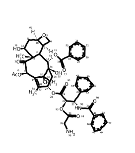 CC(=O)O[C@H]1C(=O)[C@@]2(C)C([C@@H]3CO[C@@H]3C[C@@H]2O)[C@H](OC(=O)c2ccccc2)[C@]2(O)C[C@H](OC(=O)[C@H](OC(=O)CN)[C@@H](NC(=O)c3ccccc3)c3ccccc3)C(C)=C1C2(C)C